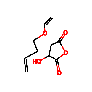 C=CCCOC=C.O=C1CC(O)C(=O)O1